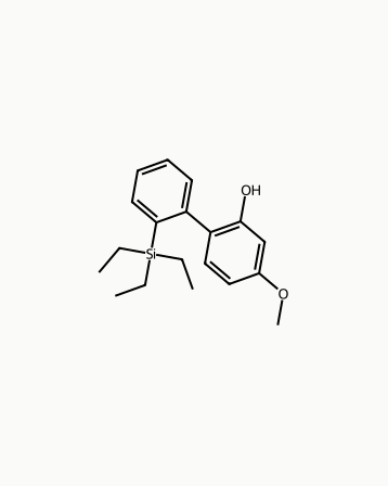 CC[Si](CC)(CC)c1ccccc1-c1ccc(OC)cc1O